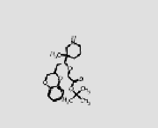 CC(C)(C)OC(=O)CO[C@@H](CC1COc2ccccc2O1)C1(C)CCCNC1